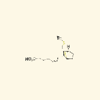 CCSC[C@@H]1[C@@H]2CCC(S2)[C@@H]1C/C=C\CCCC(=O)O